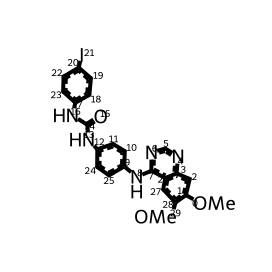 COc1cc2ncnc(Nc3ccc(NC(=O)Nc4ccc(I)cc4)cc3)c2cc1OC